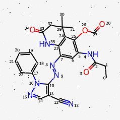 CCC(=O)Nc1cc(N=Nc2c(C#N)cnn2-c2ccccc2)c2c(c1OC=O)C(C)(C)CC(=O)N2